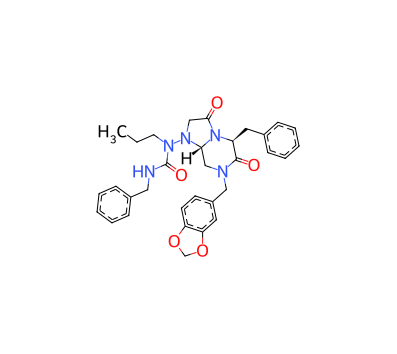 CCCN(C(=O)NCc1ccccc1)N1CC(=O)N2[C@@H](Cc3ccccc3)C(=O)N(Cc3ccc4c(c3)OCO4)C[C@@H]21